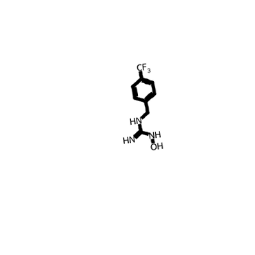 N=C(NO)NCc1ccc(C(F)(F)F)cc1